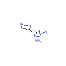 CC(Sc1nc(N)cc(C#N)n1)c1cc2cc[nH]c2cn1